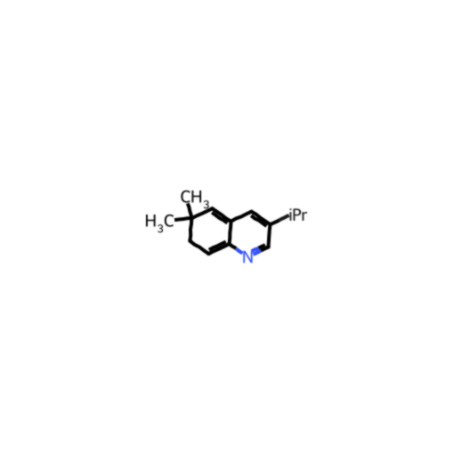 CC(C)c1cnc2c(c1)=CC(C)(C)CC=2